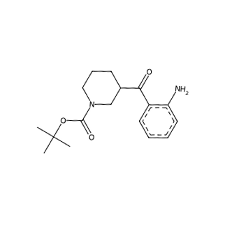 CC(C)(C)OC(=O)N1CCCC(C(=O)c2ccccc2N)C1